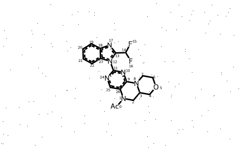 CC(=O)N1CC2COCCN2c2nc(-n3c(C(F)F)nc4ccccc43)ncc21